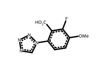 COc1ccc(-n2cnnn2)c(C(=O)O)c1F